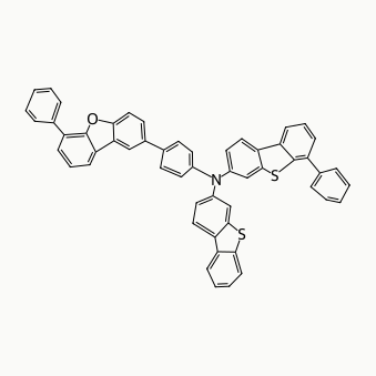 c1ccc(-c2cccc3c2oc2ccc(-c4ccc(N(c5ccc6c(c5)sc5ccccc56)c5ccc6c(c5)sc5c(-c7ccccc7)cccc56)cc4)cc23)cc1